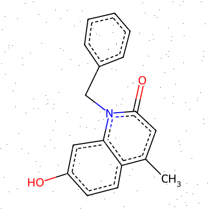 Cc1cc(=O)n(Cc2ccccc2)c2cc(O)ccc12